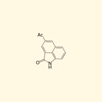 CC(=O)c1cc2c3c(cccc3c1)NC2=O